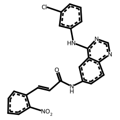 O=C(C=Cc1ccccc1[N+](=O)[O-])Nc1ccc2ncnc(Nc3cccc(Cl)c3)c2c1